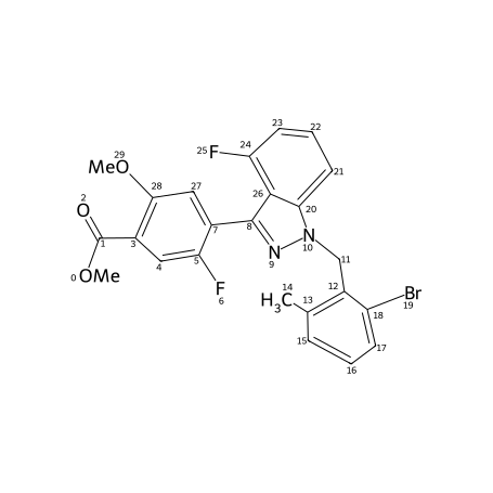 COC(=O)c1cc(F)c(-c2nn(Cc3c(C)cccc3Br)c3cccc(F)c23)cc1OC